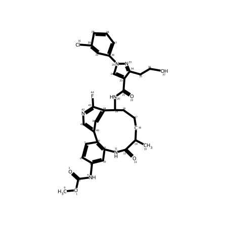 COC(=O)Nc1ccc2c(c1)NC(=O)C(C)CCCC(NC(=O)c1cn(-c3cccc(Cl)c3)nc1CCO)c1cc-2cnc1F